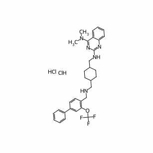 CN(C)c1nc(NCC2CCC(CNCc3ccc(-c4ccccc4)cc3OC(F)(F)F)CC2)nc2ccccc12.Cl.Cl